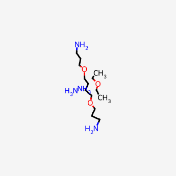 CCOCC.N.N.NCCCOCCCCOCCCN